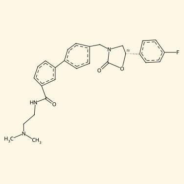 CN(C)CCNC(=O)c1cccc(-c2ccc(CN3C[C@H](c4ccc(F)cc4)OC3=O)cc2)c1